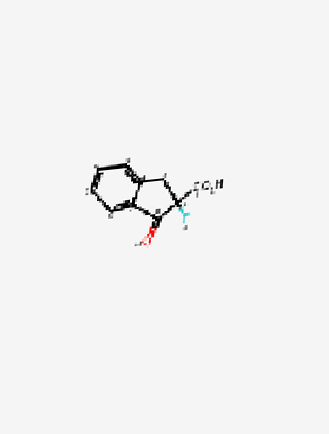 O=C(O)C1(F)Cc2ccccc2C1=O